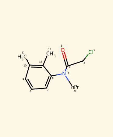 CCCN(C(=O)CCl)c1cccc(C)c1C